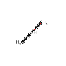 COCCOCCOCCOCCNCCOCCOCCOCCOC